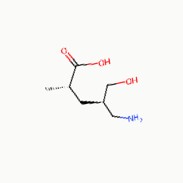 C[C@@H](C[C@H](CN)CO)C(=O)O